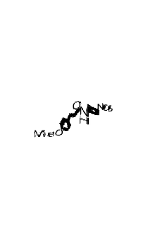 COc1ccc(CCC(=O)N[C@H]2C[C@@H](N=C=S)C2)cc1